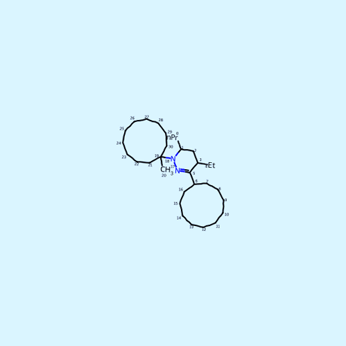 CCCC1CC(CC)C(C2CCCCCCCCCC2)=NN1C1(C)CCCCCCCCCC1